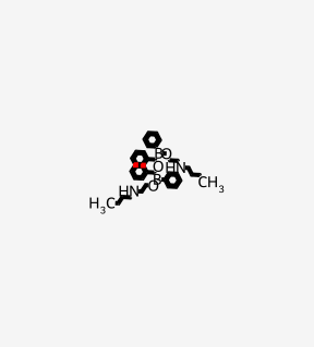 CCCCNCCOB(c1ccccc1)C(OC(B(OCCNCCCC)c1ccccc1)c1ccccc1)c1ccccc1